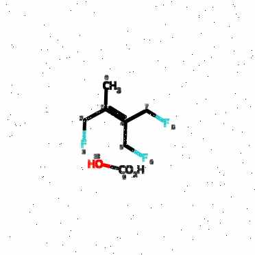 CC(CF)=C(CF)CF.O=C(O)O